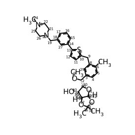 COC(c1ccc(C)c(Cc2ccc(-c3cccc(CN4CCN(C)CC4)c3)s2)c1)[C@@H]1O[C@H]2OC(C)(C)O[C@H]2[C@@H]1O